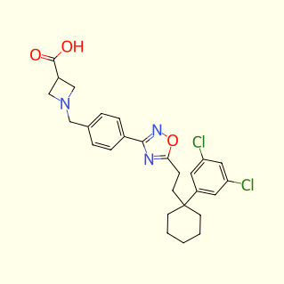 O=C(O)C1CN(Cc2ccc(-c3noc(CCC4(c5cc(Cl)cc(Cl)c5)CCCCC4)n3)cc2)C1